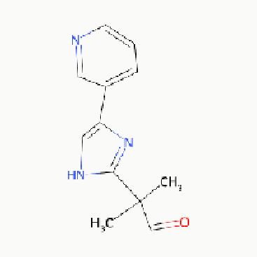 CC(C)(C=O)c1nc(-c2cccnc2)c[nH]1